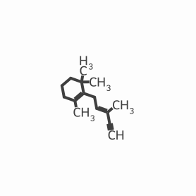 C#C/C(C)=C/CC1=C(C)CCCC1(C)C